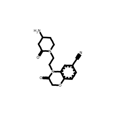 N#Cc1ccc2c(c1)N(CCN1CCC(N)CC1=O)C(=O)CO2